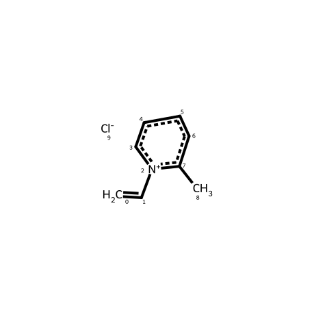 C=C[n+]1ccccc1C.[Cl-]